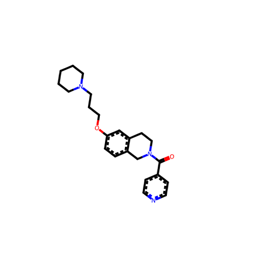 O=C(c1ccncc1)N1CCc2cc(OCCCN3CCCCC3)ccc2C1